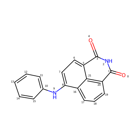 O=C1NC(=O)c2ccc(Nc3ccccc3)c3cccc1c23